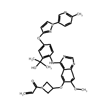 C=CC(=O)N1CC(Oc2cc3c(Nc4ccc(Oc5ccn(-c6ccc(C)nc6)n5)cc4C(C)(C)O)ncnc3cc2OC)C1